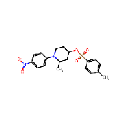 Cc1ccc(S(=O)(=O)OC2CCN(c3ccc([N+](=O)[O-])cc3)C(C)C2)cc1